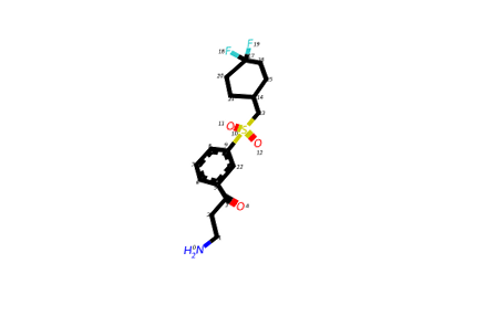 NCCC(=O)c1cccc(S(=O)(=O)CC2CCC(F)(F)CC2)c1